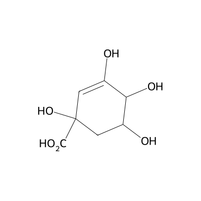 O=C(O)C1(O)C=C(O)C(O)C(O)C1